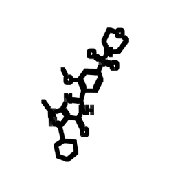 COc1cc(S(=O)(=O)N2CCOCC2)ccc1-c1nc2c(c(C3CCCCC3)nn2C)c(=O)[nH]1